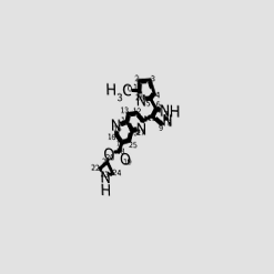 Cc1cccc(-c2[nH]ncc2-c2ccc3ncc(C(=O)OC4CNC4)cc3n2)n1